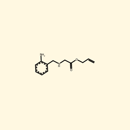 C=CCOC(=O)CNCc1ccccc1N